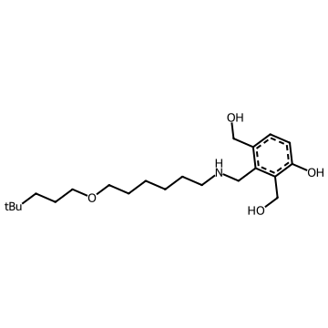 CC(C)(C)CCCOCCCCCCNCc1c(CO)ccc(O)c1CO